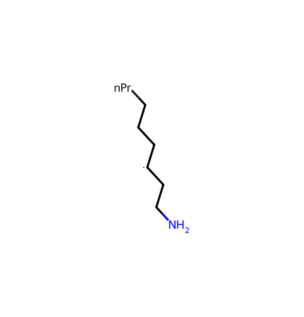 CCCCCC[CH]CCN